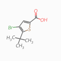 CC(C)(C)c1sc(C(=O)O)cc1Br